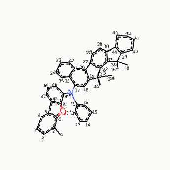 Cc1cccc2c1oc1c(N(c3ccccc3)c3cc4c(c5ccccc35)-c3ccc5c(c3C4(C)C)C(C)(C)c3ccccc3-5)cccc12